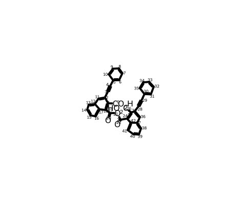 O=C(O)c1c(C#Cc2ccccc2)cc2ccccc2c1C(=O)OC(=O)c1c(C(=O)O)c(C#Cc2ccccc2)cc2ccccc12